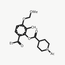 CCC(=O)c1ccc(OCOC)c(C)c1OC(=O)C1CCN(C(C)=O)CC1